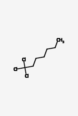 CCCCCCC(Cl)(Cl)Cl